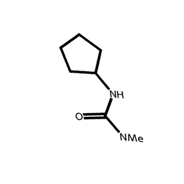 CNC(=O)NC1CCCC1